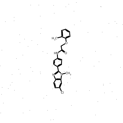 Cc1ccccc1OCC(=O)Nc1ccc(-c2nc3ccc(Cl)cc3n2C)cc1